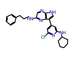 Clc1cc(-c2c[nH]c3ncc(NCCCc4ccccc4)nc23)cc(NC2CCCCC2)n1